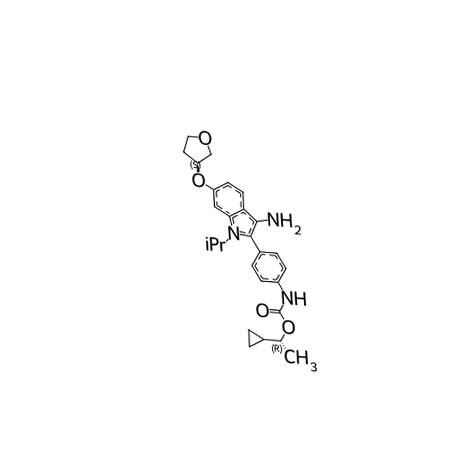 CC(C)n1c(-c2ccc(NC(=O)O[C@H](C)C3CC3)cc2)c(N)c2ccc(O[C@H]3CCOC3)cc21